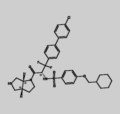 O=C([C@@H](NS(=O)(=O)c1ccc(OCC2CCCCC2)cc1)C(F)(F)c1ccc(-c2ccc(Cl)cc2)cc1)N1CC[C@@H]2CNC[C@@H]21